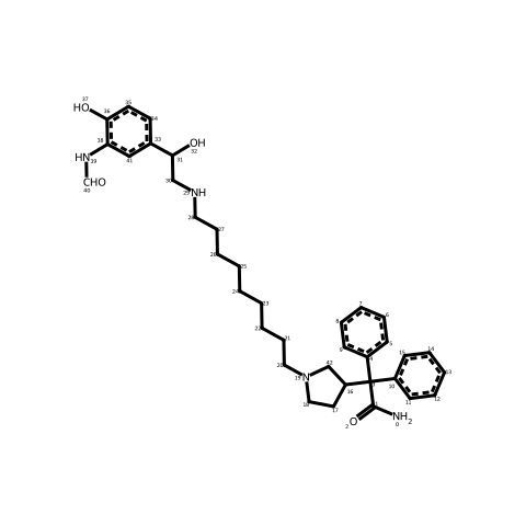 NC(=O)C(c1ccccc1)(c1ccccc1)C1CCN(CCCCCCCCCNCC(O)c2ccc(O)c(NC=O)c2)C1